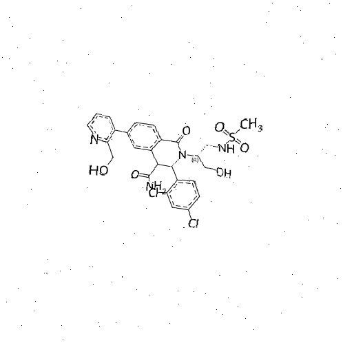 CS(=O)(=O)NC[C@H](CO)N1C(=O)c2ccc(-c3cccnc3CO)cc2C(C(N)=O)C1c1ccc(Cl)cc1Cl